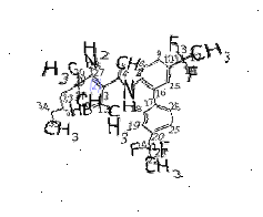 B=C(C)/C(C(=C)Nc1ccc(C(C)(F)F)cc1-c1ccc(C(C)(F)F)cc1)=C(/N)C(C)(C)CCCC